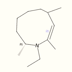 CCN1/C(C)=C\C(C)CCCC[C@H]1C